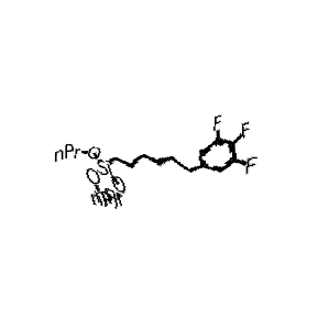 CCCO[Si](CCCCCCc1cc(F)c(F)c(F)c1)(OCCC)OCCC